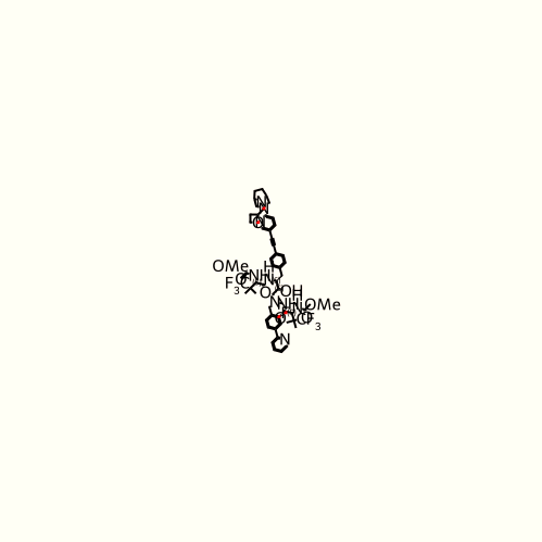 COC(=O)N[C@H](C(=O)N[C@@H](Cc1ccc(C#Cc2ccc(N3CC4CCC(C3)N4CC3CCO3)nc2)cc1)[C@@H](O)CN(Cc1ccc(-c2ccccn2)cc1F)NC(=O)[C@@H](NC(=O)OC)C(C)(C)C(F)(F)F)C(C)(C)C(F)(F)F